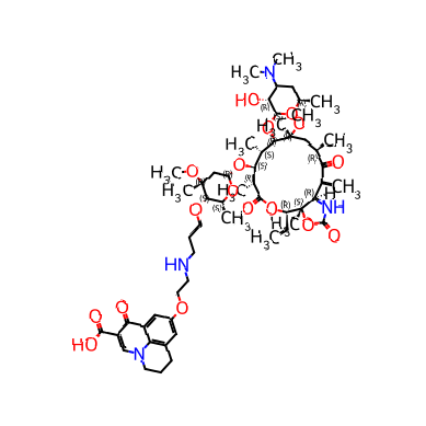 CC[C@H]1OC(=O)[C@H](C)[C@@H](O[C@H]2C[C@@](C)(OC)[C@@H](OCCCNCCOc3cc4c5c(c3)c(=O)c(C(=O)O)cn5CCC4)[C@H](C)O2)[C@H](C)[C@@H](O[C@@H]2O[C@H](C)CC(N(C)C)[C@H]2O)[C@](C)(OC)C[C@@H](C)C(=O)C(C)[C@H]2NC(=O)O[C@@]21C